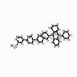 Cc1cncc(-c2ccc(-c3ccc4cc(-c5c6ccccc6c(-c6ccccc6)c6ccccc56)ccc4c3)cn2)c1